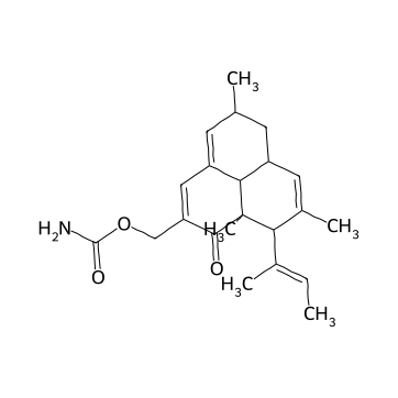 C/C=C(\C)C1C(C)=CC2CC(C)C=C3C=C(COC(N)=O)C(=O)C1(C)C32